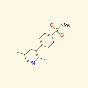 CNS(=O)(=O)c1ccc(-c2cc(C)cnc2C)cc1